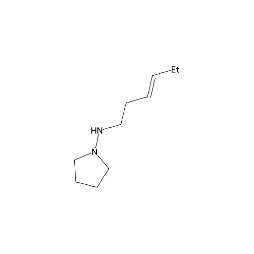 CCC=CCCNN1CCCC1